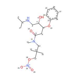 CC(C)NCC(O)C(CC(=O)N(C)CC(C)(C)CO[N+](=O)[O-])Oc1ccccc1